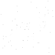 CN(CCOc1ccc(CC2SC(=O)NC2=O)cc1)c1ccccn1.O=C(O)C=CC(=O)O.[KH]